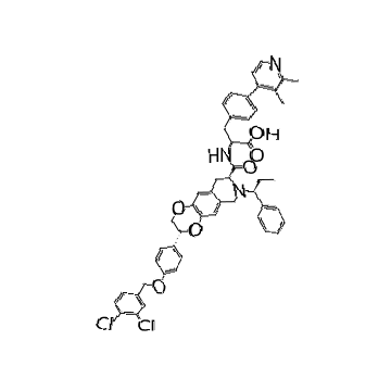 CC[C@@H](c1ccccc1)N1Cc2cc3c(cc2C[C@H]1C(=O)NC(Cc1ccc(-c2ccnc(C)c2C)cc1)C(=O)O)OC[C@@H](c1ccc(OCc2ccc(Cl)c(Cl)c2)cc1)O3